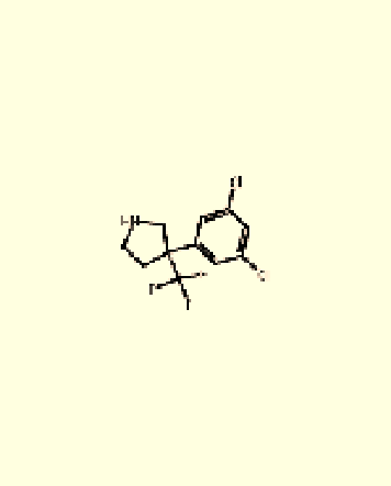 FC(F)(F)[C@@]1(c2cc(Cl)cc(Cl)c2)CCNC1